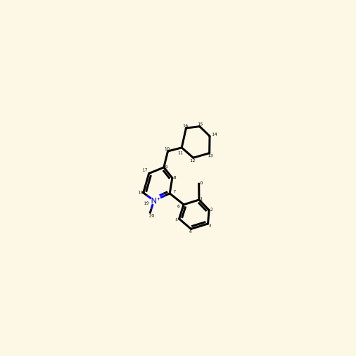 Cc1ccccc1-c1cc(CC2CCCCC2)cc[n+]1C